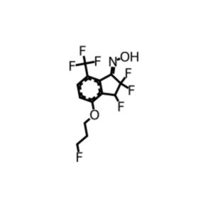 ON=C1c2c(C(F)(F)F)ccc(OCCCF)c2C(F)C1(F)F